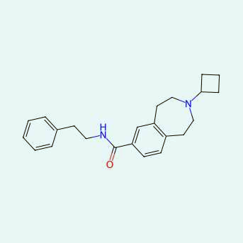 O=C(NCCc1ccccc1)c1ccc2c(c1)CCN(C1CCC1)CC2